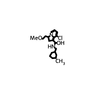 COCCC1CC(C(O)NCC2CCC[C@@H](C)C2)=C2C(Cl)=CC=CN21